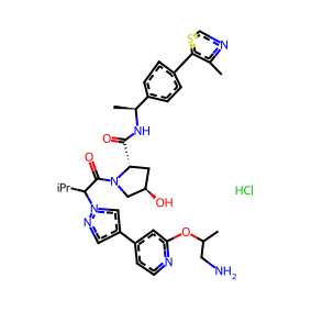 Cc1ncsc1-c1ccc([C@H](C)NC(=O)[C@@H]2C[C@@H](O)CN2C(=O)C(C(C)C)n2cc(-c3ccnc(OC(C)CN)c3)cn2)cc1.Cl